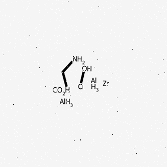 NCC(=O)O.OCl.[AlH3].[AlH3].[Zr]